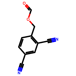 N#Cc1ccc(COC=O)c(C#N)c1